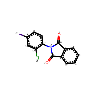 O=C1c2ccccc2C(=O)N1c1ccc(I)cc1Cl